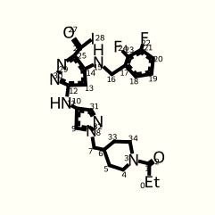 CCC(=O)N1CCC(Cn2cc(Nc3cc(NCc4cccc(F)c4F)c(C(=O)I)nn3)cn2)CC1